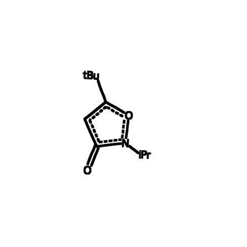 CC(C)n1oc(C(C)(C)C)cc1=O